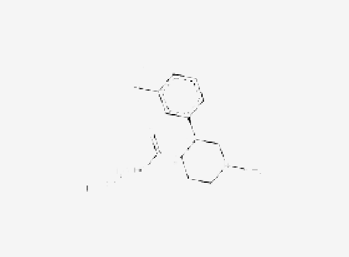 CN1CC[C@H](C(=O)O)[C@@H](c2cccc(F)c2)C1.O.O.O.O